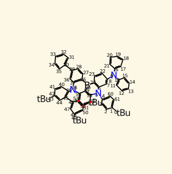 CC(C)(C)c1ccc(N2c3cc(N(c4ccccc4)c4ccccc4)ccc3B3c4ccc(-c5ccccc5)cc4N(c4ccc(C(C)(C)C)cc4-c4cc(C(C)(C)C)cc(C(C)(C)C)c4)c4cccc2c43)cc1